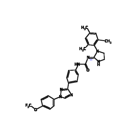 Cc1cc(C)c(N2CCN/C2=N\C(=O)Nc2ccc(-c3ncn(-c4ccc(OC(F)(F)F)cc4)n3)cc2)c(C)c1